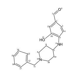 O=Cc1ccc(NC2CCN(Cc3ccccc3)CC2)c(O)c1